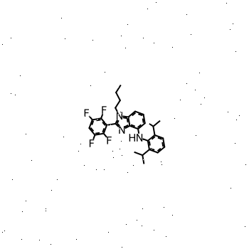 CCCCn1c(-c2c(F)c(F)cc(F)c2F)nc2c(Nc3c(C(C)C)cccc3C(C)C)cccc21